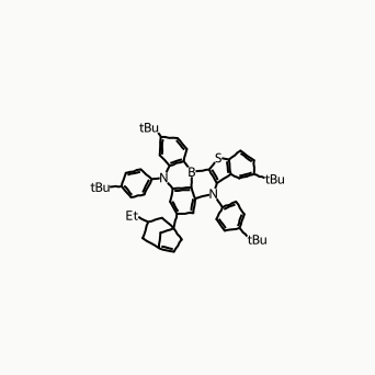 CCC1CC2=CCC(c3cc4c5c(c3)N(c3ccc(C(C)(C)C)cc3)c3c(sc6ccc(C(C)(C)C)cc36)B5c3ccc(C(C)(C)C)cc3N4c3ccc(C(C)(C)C)cc3)(C2)C1